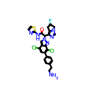 NCCc1ccc(-c2cc(Cl)c3cn(C(C(=O)Nc4nccs4)c4ncn5c4C[C@@H](F)C5)nc3c2Cl)cc1